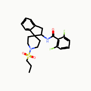 CCCS(=O)(=O)N1CCC2(CC1)c1ccccc1CC2NC(=O)c1c(F)cccc1F